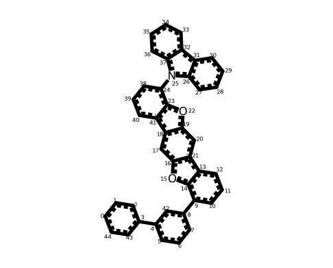 c1ccc(-c2cccc(-c3cccc4c3oc3cc5c(cc34)oc3c(-n4c6ccccc6c6ccccc64)cccc35)c2)cc1